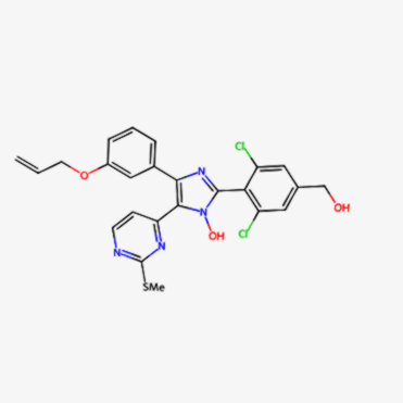 C=CCOc1cccc(-c2nc(-c3c(Cl)cc(CO)cc3Cl)n(O)c2-c2ccnc(SC)n2)c1